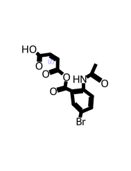 CC(=O)Nc1ccc(Br)cc1C(=O)OC(=O)/C=C\C(=O)O